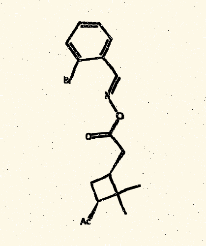 CC(=O)[C@H]1C[C@@H](CC(=O)ON=Cc2ccccc2Br)C1(C)C